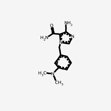 CN(C)c1cccc(Cn2cnc(N)c2C(N)=O)c1